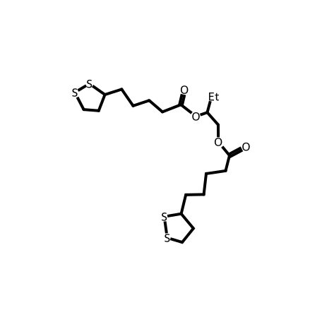 CCC(COC(=O)CCCCC1CCSS1)OC(=O)CCCCC1CCSS1